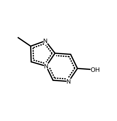 Cc1cn2cnc(O)cc2n1